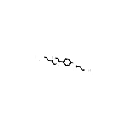 C=CCC(=O)Oc1ccc(-c2cnc(CC=C)cn2)cc1